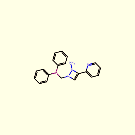 Nn1c(-c2ccccn2)cn1CP(c1ccccc1)c1ccccc1